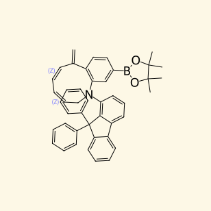 C=C1/C=C\C=C/CN(c2cccc3c2C(c2ccccc2)(c2ccccc2)c2ccccc2-3)c2cc(B3OC(C)(C)C(C)(C)O3)ccc21